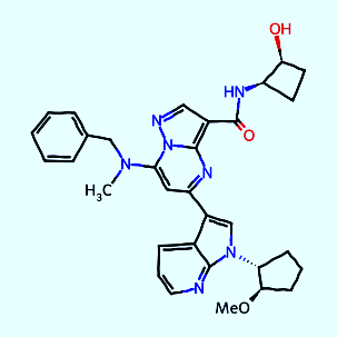 CO[C@@H]1CCC[C@H]1n1cc(-c2cc(N(C)Cc3ccccc3)n3ncc(C(=O)N[C@@H]4CC[C@@H]4O)c3n2)c2cccnc21